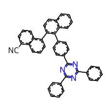 N#Cc1cccc2c(-c3ccc4ccccc4c3-c3ccc(-c4nc(-c5ccccc5)nc(-c5ccccc5)n4)cc3)cccc12